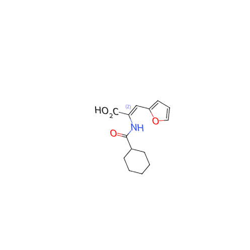 O=C(O)/C(=C/c1ccco1)NC(=O)C1CCCCC1